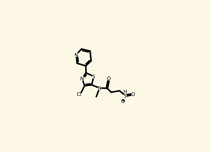 CN(C(=O)CC[SH](=O)=O)c1sc(-c2cccnc2)nc1Cl